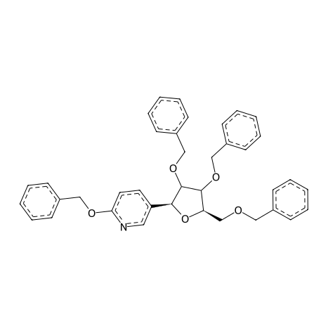 c1ccc(COC[C@H]2O[C@@H](c3ccc(OCc4ccccc4)nc3)C(OCc3ccccc3)C2OCc2ccccc2)cc1